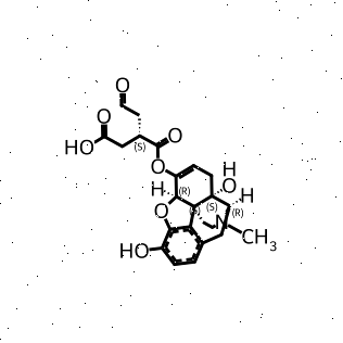 CN1CC[C@]23c4c5ccc(O)c4O[C@H]2C(OC(=O)[C@@H](CC=O)CC(=O)O)=CC[C@@]3(O)[C@H]1C5